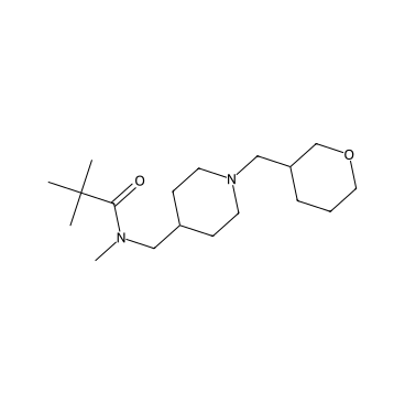 CN(CC1CCN(CC2CCCOC2)CC1)C(=O)C(C)(C)C